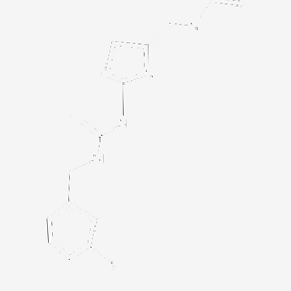 O=CNCc1csc(NC(=O)NCc2cccc(F)c2)n1